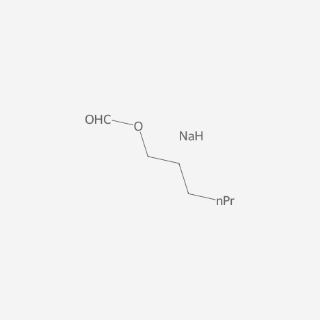 CCCCCCOC=O.[NaH]